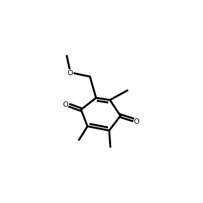 COCC1=C(C)C(=O)C(C)=C(C)C1=O